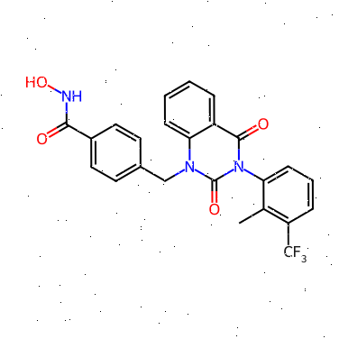 Cc1c(-n2c(=O)c3ccccc3n(Cc3ccc(C(=O)NO)cc3)c2=O)cccc1C(F)(F)F